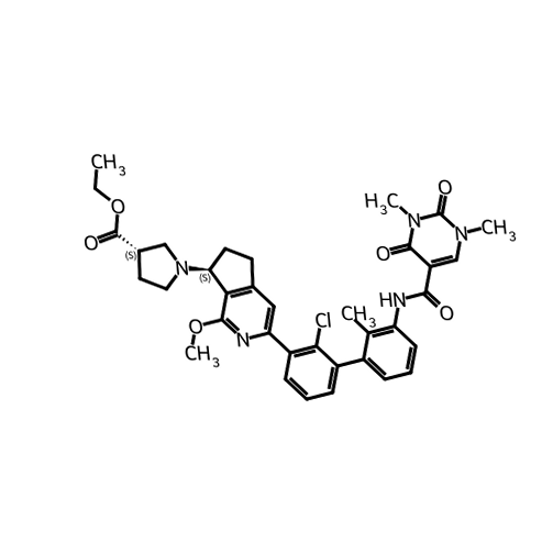 CCOC(=O)[C@H]1CCN([C@H]2CCc3cc(-c4cccc(-c5cccc(NC(=O)c6cn(C)c(=O)n(C)c6=O)c5C)c4Cl)nc(OC)c32)C1